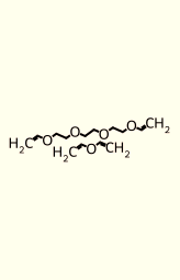 C=COC=C.C=COCCOCCOCCOC=C